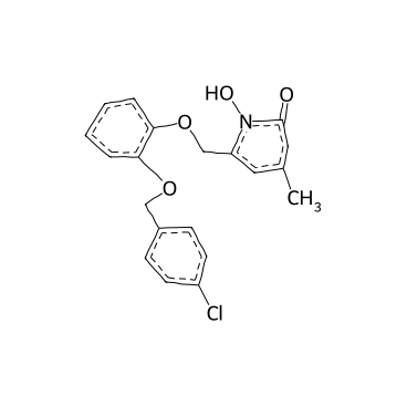 Cc1cc(COc2ccccc2OCc2ccc(Cl)cc2)n(O)c(=O)c1